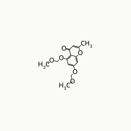 COCOc1cc(OCOC)c2c(=O)cc(C)oc2c1